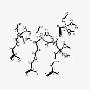 C=C(C)COCC([SiH3])(OC)OC.C=C(C)COCCC[Si](OC)(OC)OC.C=C(C)COC[Si](OC)(OC)OC.C=C[Si](OC)(OC)OC